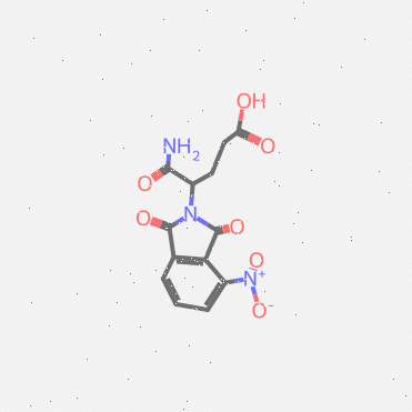 NC(=O)C(CCC(=O)O)N1C(=O)c2cccc([N+](=O)[O-])c2C1=O